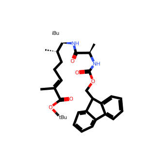 CC[C@H](C)[C@@H](NC(=O)[C@@H](C)NC(=O)OCC1c2ccccc2-c2ccccc21)[C@@H](C)CC/C=C(\C)C(=O)OC(C)(C)C